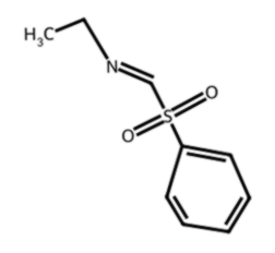 CC/N=C/S(=O)(=O)c1ccccc1